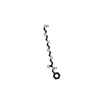 O=C(CCOCCOCCOCCOCCO)NCc1ccccc1